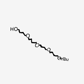 CCCCOCCCCOCCCCOCCCCOCCCCO